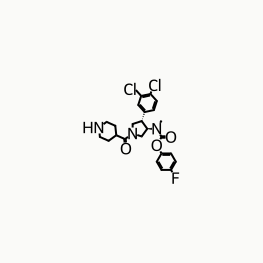 CN(C(=O)Oc1ccc(F)cc1)[C@H]1CN(C(=O)C2CCNCC2)C[C@@H]1c1ccc(Cl)c(Cl)c1